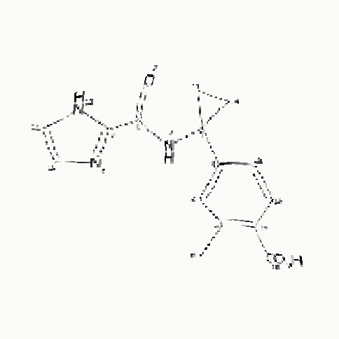 Cc1cc(C2(NC(=O)c3ncc[nH]3)CC2)ccc1C(=O)O